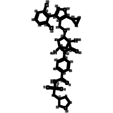 O=C(NS(=O)(=O)CC1CCOC1)c1ccc(N2C(=O)[C@@H]3C[C@H]2C[C@H]3OCc2c(-c3c(Cl)cccc3Cl)noc2C2CC2)cc1